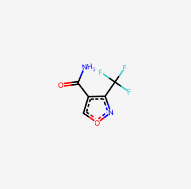 NC(=O)c1conc1C(F)(F)F